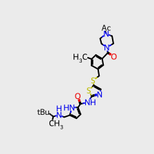 CC(=O)N1CCN(C(=O)c2cc(C)cc(CSc3cnc(NC(=O)c4ccc(CNC(C)C(C)(C)C)[nH]4)s3)c2)CC1